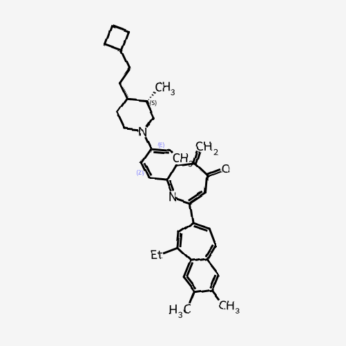 C=C1CC(/C=C\C(=C/C)N2CCC(CCC3CCC3)[C@H](C)C2)=NC(C2=CC=C3C=C(C)C(C)=C=C3C(CC)=C2)=CC1=O